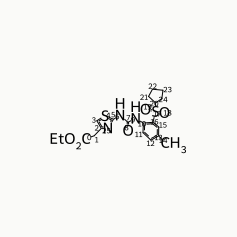 CCOC(=O)Cc1csc(NC(=O)Nc2ccc(C)cc2S(=O)(=O)C2CCCC2)n1